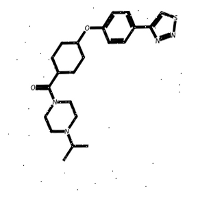 CC(C)N1CCN(C(=O)C2CCC(Oc3ccc(-c4csnn4)cc3)CC2)CC1